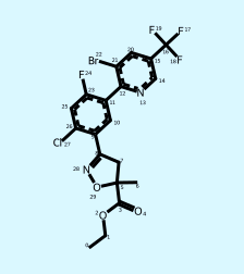 CCOC(=O)C1(C)CC(c2cc(-c3ncc(C(F)(F)F)cc3Br)c(F)cc2Cl)=NO1